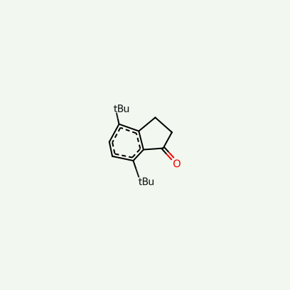 CC(C)(C)c1ccc(C(C)(C)C)c2c1CCC2=O